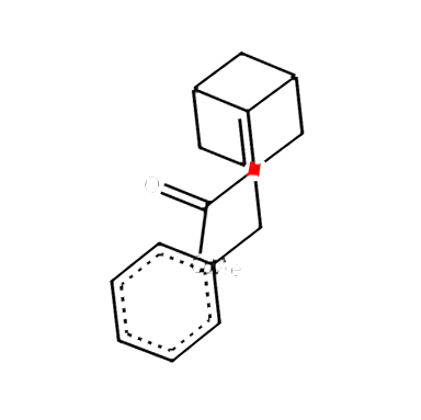 COC(=O)C=C1C2CC1CN(Cc1ccccc1)C2